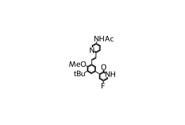 COc1c(C=Cc2ccc(NC(C)=O)cn2)cc(-c2cc(F)c[nH]c2=O)cc1C(C)(C)C